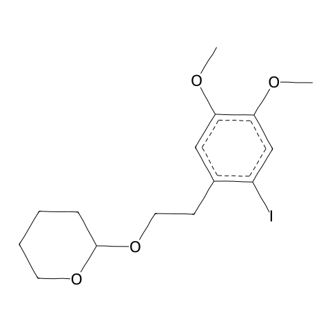 COc1cc(I)c(CCOC2CCCCO2)cc1OC